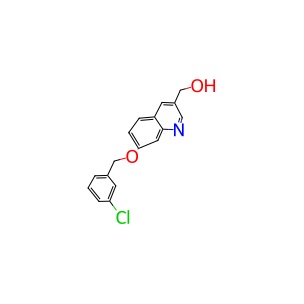 OCc1cnc2cc(OCc3cccc(Cl)c3)ccc2c1